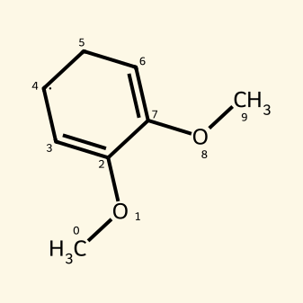 COC1=C[CH]CC=C1OC